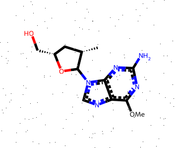 COc1nc(N)nc2c1ncn2C1O[C@H](CO)C[C@@H]1C